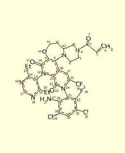 C=CC(=O)N1CCN2c3c(c(=O)n(-c4c(CC)ncnc4CC)c4c(=O)n(-c5c(N)c(Cl)cc(Cl)c5F)c(C(F)(F)F)cc34)OCCC2C1